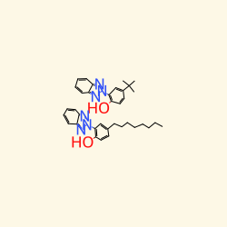 CC(C)(C)c1ccc(O)c(-n2nc3ccccc3n2)c1.CCCCCCCCc1ccc(O)c(-n2nc3ccccc3n2)c1